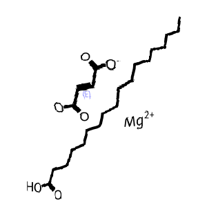 CCCCCCCCCCCCCCCCCC(=O)O.O=C([O-])/C=C/C(=O)[O-].[Mg+2]